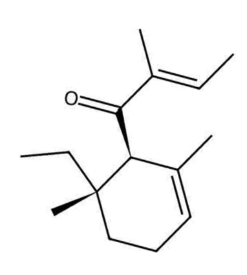 CC=C(C)C(=O)[C@H]1C(C)=CCC[C@]1(C)CC